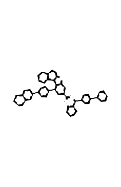 c1ccc(-c2ccc(-c3nc(-c4cc(-c5ccc(-c6ccc7ccccc7c6)cc5)c5c(c4)oc4ccc6ccccc6c45)nc4ccccc34)cc2)cc1